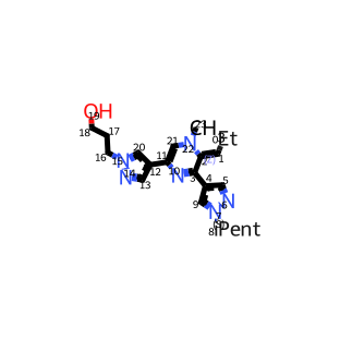 CC/C=C1/C(c2cnn([C@@H](C)CCC)c2)=NC(c2cnn(CCCO)c2)=CN1C